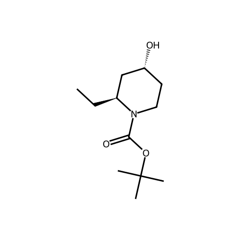 CC[C@H]1C[C@H](O)CCN1C(=O)OC(C)(C)C